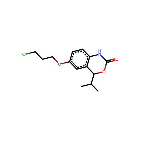 CC(C)C1OC(=O)Nc2ccc(OCCCCl)cc21